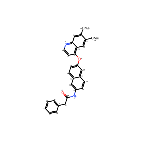 COc1cc2nccc(Oc3ccc4cc(NC(=O)Cc5ccccc5)ccc4c3)c2cc1OC